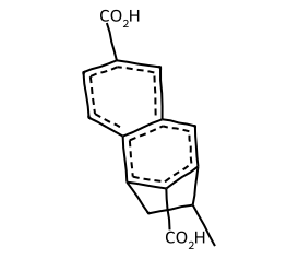 CC1Cc2c(C(=O)O)c1cc1cc(C(=O)O)ccc21